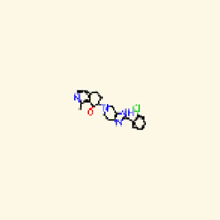 Cc1nccc2c1C(=O)C(N1CCc3nc(-c4ccccc4Cl)[nH]c3C1)CC2